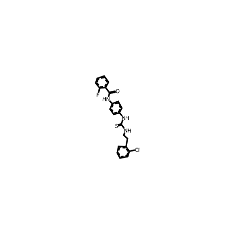 O=C(Nc1ccc(NC(=S)NCCc2ccccc2Cl)cc1)c1ccccc1F